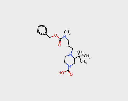 CN(CCCN1CCN(C(=O)O)CC1C(C)(C)C)C(=O)OCc1ccccc1